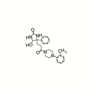 Cc1ccccc1N1CCN(C(=O)CCC2(c3ccccc3)NC(=O)NC2O)CC1